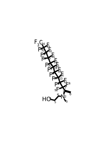 C=C(N(C)CCO)C(F)(F)C(F)(F)C(F)(F)C(F)(F)C(F)(F)C(F)(F)C(F)(F)C(F)(F)C(F)(F)C(F)(F)F